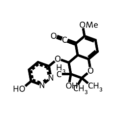 COC1=CC=C2OC(C)(C)C(C)(O)C(Oc3ccc(O)nn3)C2C1=C=O